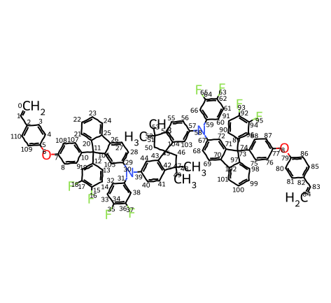 C=Cc1ccc(Oc2ccc(C3(c4ccc(F)c(F)c4)c4ccccc4-c4ccc(N(c5ccc(F)c(F)c5)c5ccc6c(c5)C5(CC6(C)C)CC(C)(C)c6ccc(N(c7ccc(F)c(F)c7)c7ccc8c(c7)C(c7ccc(Oc9ccc(C=C)cc9)cc7)(c7ccc(F)c(F)c7)c7ccccc7-8)cc65)cc43)cc2)cc1